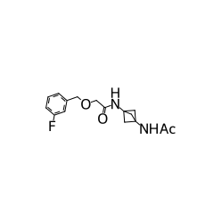 CC(=O)NC12CC(NC(=O)COCc3cccc(F)c3)(C1)C2